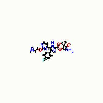 CN(C)CCOc1nccc(-c2[nH]c(C3OCC(C)(C(N)=O)CO3)nc2-c2ccc(F)cc2)n1